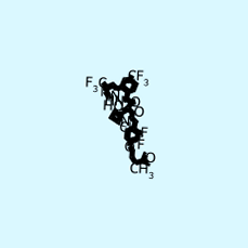 CC(CCOc1ccc(CC2C(=O)C(C(=O)C(=N)c3ccc(C(F)(F)F)cc3-c3cc(C(F)(F)F)ncn3)=C(O)C3(CCC3)N2C)c(F)c1F)C1COC1